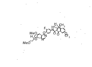 COCCCOC1(C)Cc2ncnc(Oc3ccc(NC(=O)c4c(C)n(C)c5ccc(OC(F)(F)F)cc5c4=O)cc3F)c2C=C1OC